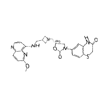 COc1ccc2nccc(NCC3CN(C[C@@H]4CN(c5ccc6c(c5)NC(=O)CS6)C(=O)O4)C3)c2n1